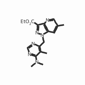 CCOC(=O)c1nn(Cc2ncnc(N(C)C)c2C)c2cc(C)cnc12